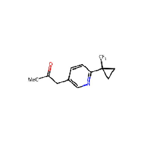 COC(=O)Cc1ccc(C2(C(F)(F)F)CC2)nc1